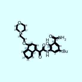 CC(C)(C)c1cc(NC(=O)C(=O)c2ccc(OCCN3CCOCC3)c3ccccc23)c(O)c(C(N)=O)c1